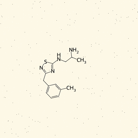 Cc1cccc(Cc2nsc(NCC(C)N)n2)c1